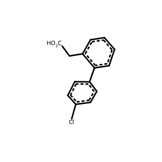 O=C(O)Cc1ccccc1-c1ccc(Cl)cc1